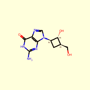 Nc1nc2c(ncn2[C@@H]2C[C@H](CO)[C@H]2O)c(=O)[nH]1